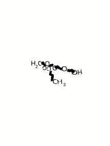 C=CC(=O)OC(COCCOCCO)OCCCCC